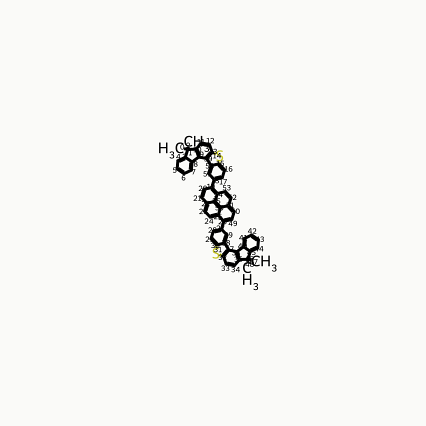 CC1(C)c2ccccc2-c2c1ccc1sc3ccc(-c4ccc5ccc6c(-c7ccc8sc9ccc%10c(c9c8c7)-c7ccccc7C%10(C)C)ccc7ccc4c5c76)cc3c21